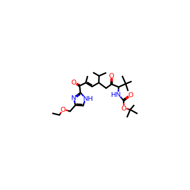 CCOCc1c[nH]c(C(=O)C(C)=CC(CC(=O)C(NC(=O)OC(C)(C)C)C(C)(C)C)C(C)C)n1